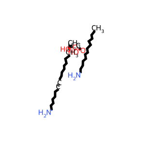 CC(=O)O.CC(=O)O.CCCCCCCCCCCCCCCCCCN.CCCCCCCCCCCCCCN